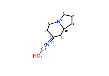 OC/N=C1\CCN2CCCC2C1